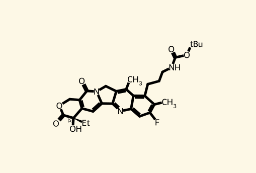 CC[C@@]1(O)C(=O)OCc2c1cc1n(c2=O)Cc2c-1nc1cc(F)c(C)c(CCCNC(=O)OC(C)(C)C)c1c2C